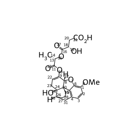 COc1ccc2c3c1O[C@H]1C(OC(=O)[C@H](C)OC(=O)[C@@H](O)CC(=O)O)=CC[C@@]4(O)[C@H](CCC[C@]314)C2